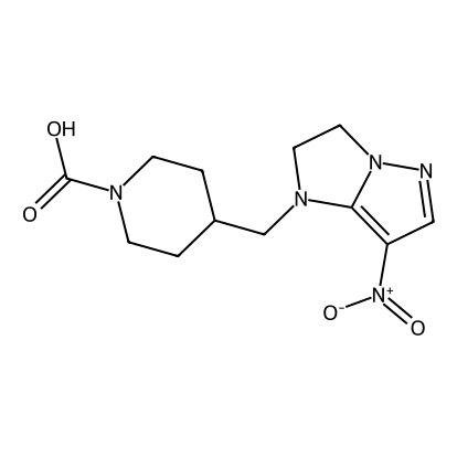 O=C(O)N1CCC(CN2CCn3ncc([N+](=O)[O-])c32)CC1